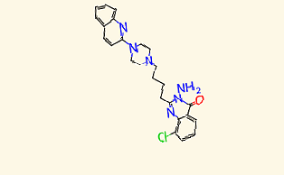 Nn1c(CCCCN2CCN(c3ccc4ccccc4n3)CC2)nc2c(Cl)cccc2c1=O